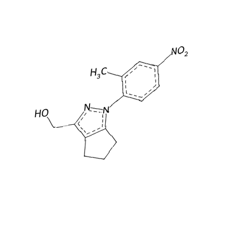 Cc1cc([N+](=O)[O-])ccc1-n1nc(CO)c2c1CCC2